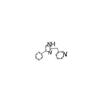 c1ccc(-c2c[nH]c(Cc3cccnc3)n2)cc1